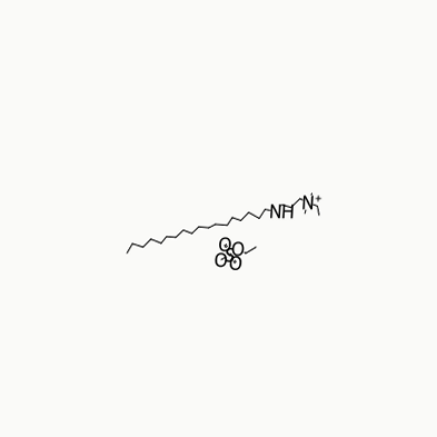 CCCCCCCCCCCCCCCCCCNCCC[N+](C)(C)CC.CCOS(=O)(=O)[O-]